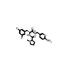 CN1CCCC1C(=O)N[C@@H](Cc1cc(F)cc(F)c1)C(=O)NCc1ccc(N)nc1